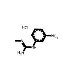 CN=C(N)Nc1cccc([N+](=O)[O-])c1.Cl